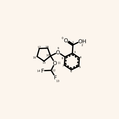 O=C(O)c1ccccc1OC1(OC(F)F)CCCC1